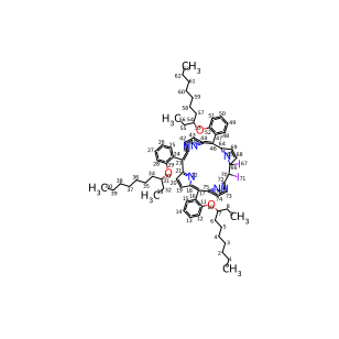 CCCCCCCC(CC)Oc1ccccc1C1=C2C=CC(=N2)C(c2ccccc2OC(CC)CCCCCCC)=c2ccc([nH]2)=C(c2ccccc2OC(CC)CCCCCCC)C2=NC(I)(C=C2)C(I)c2ccc1[nH]2